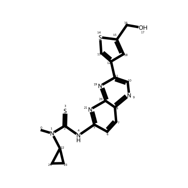 CN(C(=S)Nc1ccc2ncc(-c3csc(CO)c3)nc2n1)C1CC1